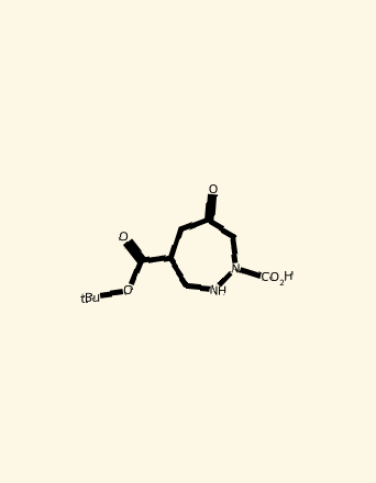 CC(C)(C)OC(=O)C1CNN(C(=O)O)CC(=O)C1